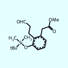 COC(=O)Cc1cccc(O[Si](C)(C)C(C)(C)C)c1CCC=O